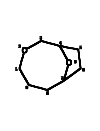 C1COCC2CCC(C1)O2